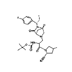 CC[C@@H](c1ccc(F)cc1)N1C(=O)C2C[C@H]1CN2CC(NC(=O)OC(C)(C)C)C(=O)N1CC(C)CC1C#N